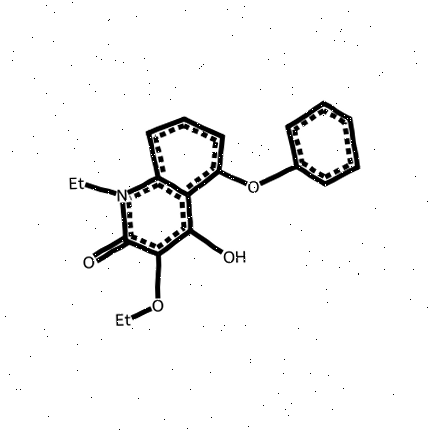 CCOc1c(O)c2c(Oc3ccccc3)cccc2n(CC)c1=O